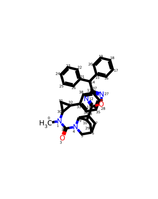 CN(C(=O)N1CC2CCC1C(c1nc(C(c3ccccc3)c3ccccc3)no1)C2)C1CC1c1ccccc1